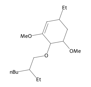 CCCCC(CC)COC1C(OC)=CC(CC)CC1OC